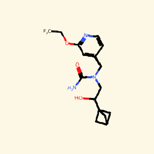 NC(=O)N(Cc1ccnc(OCC(F)(F)F)c1)CC(O)C12CC(C1)C2